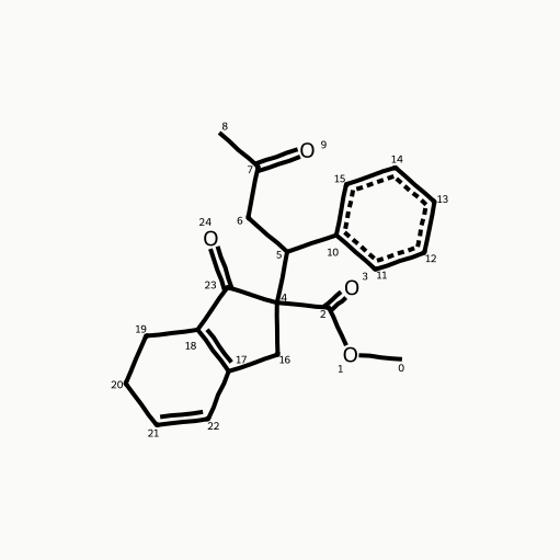 COC(=O)C1(C(CC(C)=O)c2ccccc2)CC2=C(CCC=C2)C1=O